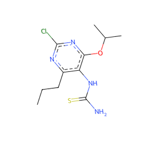 CCCc1nc(Cl)nc(OC(C)C)c1NC(N)=S